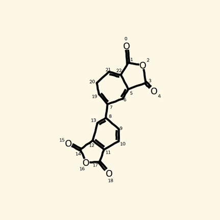 O=C1OC(=O)C2=CC(c3ccc4c(c3)C(=O)OC4=O)=CCC=C12